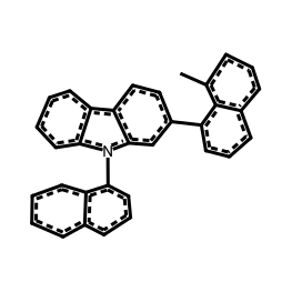 Cc1cccc2cccc(-c3ccc4c5ccccc5n(-c5cccc6ccccc56)c4c3)c12